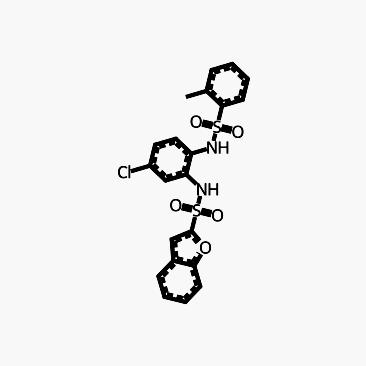 Cc1ccccc1S(=O)(=O)Nc1ccc(Cl)cc1NS(=O)(=O)c1cc2ccccc2o1